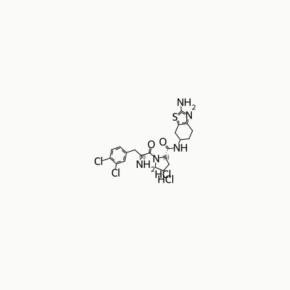 Cl.Cl.Nc1nc2c(s1)CC(NC(=O)[C@@H]1CCCN1C(=O)[C@H](N)Cc1ccc(Cl)c(Cl)c1)CC2